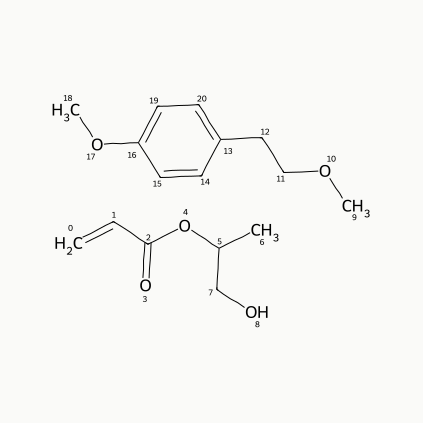 C=CC(=O)OC(C)CO.COCCc1ccc(OC)cc1